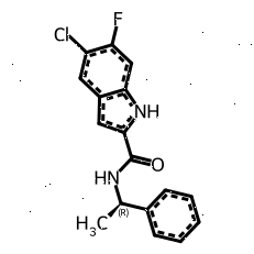 C[C@@H](NC(=O)c1cc2cc(Cl)c(F)cc2[nH]1)c1ccccc1